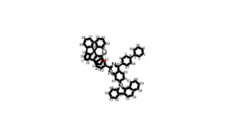 c1ccc(-c2ccc(-c3nc(-c4ccc(-c5cccc6c5C5(c7ccccc7Oc7ccccc75)c5ccccc5-6)cc4)nc4cc(-n5c6ccccc6c6ccc7ccccc7c65)ccc34)cc2)cc1